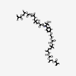 C=C(C)C(=O)OCC(C)OC(=O)NCC(C)CCC(C)(C)CNC(=O)OCCOc1ccc(/C(=N/OC(=O)NCC(C)(C)CCC(C)CNC(=O)OC(C)COC(=O)C(=C)C)C(C)(C)O)cc1